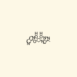 Cc1ncnc2c1ccn2C1CC(Oc2nccc3ccncc23)C(O)C1O